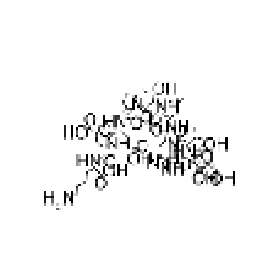 CC(C)CC(NC(=O)C(Cc1c[nH]cn1)NC(=O)C(N[C@@]1(CO)O[C@H](CO)[C@@H](O)[C@@H]1O)C(C)C)C(=O)NC(C(=O)N1CCC[C@H]1C(=O)NC(CCC(=O)O)C(=O)NC(CCC(=O)O)C(=O)NC(CCCCN)C(=O)O)C(C)O